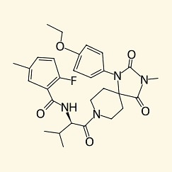 CCOc1ccc(N2C(=O)N(C)C(=O)C23CCN(C(=O)[C@H](NC(=O)c2cc(C)ccc2F)C(C)C)CC3)cc1